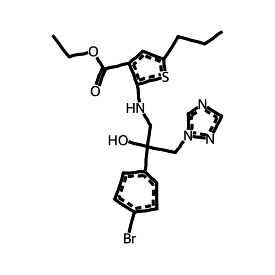 CCCc1cc(C(=O)OCC)c(NCC(O)(Cn2cncn2)c2ccc(Br)cc2)s1